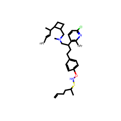 C=CCCC(C)SNOc1ccc(CCC(CN(C)CC2CCC2C(C)/C=C/CCC)c2ccc(Cl)nc2CCC)cc1